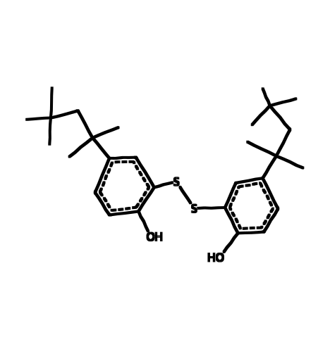 CC(C)(C)CC(C)(C)c1ccc(O)c(SSc2cc(C(C)(C)CC(C)(C)C)ccc2O)c1